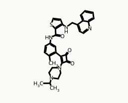 Cc1ccc(NC(=O)c2sccc2NCc2ccnc3ccccc23)cc1-c1c(N2CCN(C(C)C)CC2)c(=O)c1=O